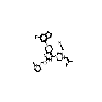 CC(F)=CN1CCN(c2nc(OC[C@@H]3CCCN3C)nc3c2CCN(c2cc(F)cc4c2CCC4)C3)C[C@@H]1CC#N